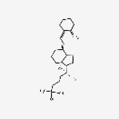 C=C1CCCC/C1=C/C=C1\CCC[C@@]2(C)C1CCC2[C@H](C)CCCC(C)(C)O